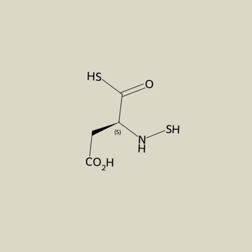 O=C(O)C[C@H](NS)C(=O)S